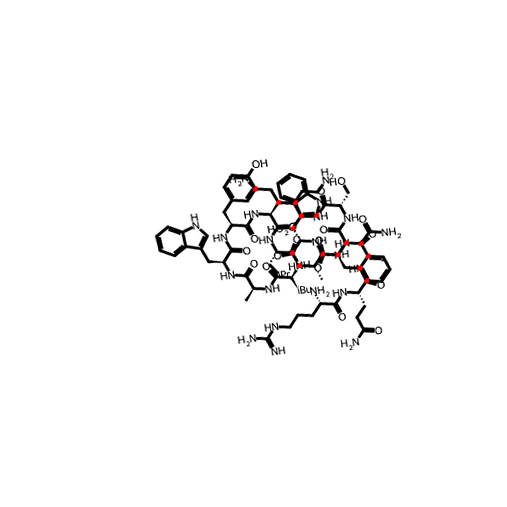 CC[C@H](C)[C@H](NC(=O)[C@H](Cc1c[nH]c2ccccc12)NC(=O)[C@H](Cc1ccccc1)NC(=O)[C@H](C)NC(=O)[C@H](CCC(N)=O)NC(=O)[C@@H](N)CCCNC(=N)N)C(=O)N[C@@H](C)C(=O)N[C@@H](Cc1c[nH]c2ccccc12)C(=O)N[C@@H](Cc1ccc(O)cc1)C(=O)N[C@@H](CCCCN)C(=O)N[C@@H](CC(C)C)C(=O)N[C@@H](C)C(=O)N[C@@H](CC(N)=O)C(=O)N[C@@H](CO)C(=O)N[C@@H](CCCCN)C(=O)O